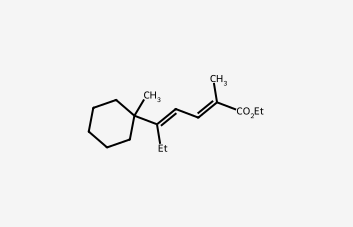 CCOC(=O)/C(C)=C/C=C(\CC)C1(C)CCCCC1